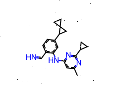 Cc1cc(Nc2cc(C3CC34CC4)ccc2C=N)nc(C2CC2)n1